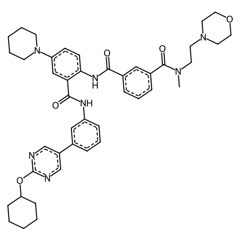 CN(CCN1CCOCC1)C(=O)c1cccc(C(=O)Nc2ccc(N3CCCCC3)cc2C(=O)Nc2cccc(-c3cnc(OC4CCCCC4)nc3)c2)c1